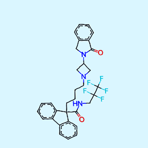 O=C1c2ccccc2CN1C1CN(CCCCC2(C(=O)NCC(F)(F)C(F)(F)F)c3ccccc3-c3ccccc32)C1